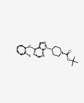 CC(C)(C)OC(=O)N1CCC(n2ncc3c(Oc4ccccc4F)ncnc32)CC1